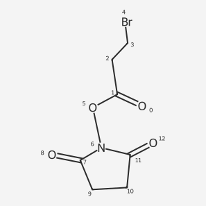 O=C(CCBr)ON1C(=O)CCC1=O